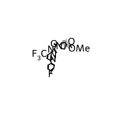 COC(=O)[C@@H]1CCN(C(=O)c2cn3nc(-c4ccc(F)cc4)cc(C(F)(F)F)c3n2)C[C@@H]1C